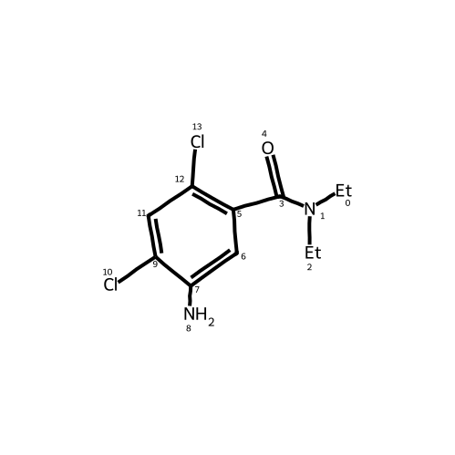 CCN(CC)C(=O)c1cc(N)c(Cl)cc1Cl